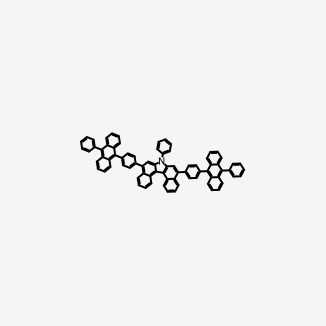 c1ccc(-c2c3ccccc3c(-c3ccc(-c4cc5c(c6ccccc46)c4c6ccccc6c(-c6ccc(-c7c8ccccc8c(-c8ccccc8)c8ccccc78)cc6)cc4n5-c4ccccc4)cc3)c3ccccc23)cc1